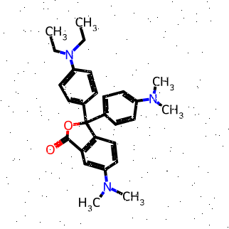 CCN(CC)c1ccc(C2(c3ccc(N(C)C)cc3)OC(=O)c3cc(N(C)C)ccc32)cc1